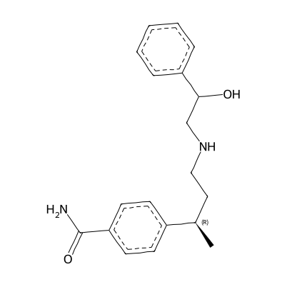 C[C@H](CCNCC(O)c1ccccc1)c1ccc(C(N)=O)cc1